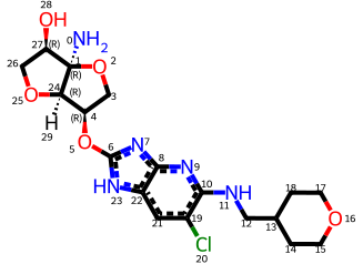 N[C@]12OC[C@@H](Oc3nc4nc(NCC5CCOCC5)c(Cl)cc4[nH]3)[C@H]1OC[C@H]2O